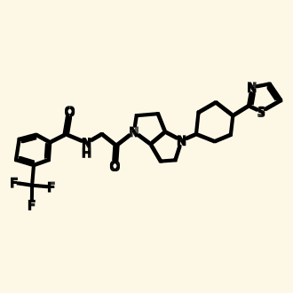 O=C(NCC(=O)N1CCC2C1CCN2C1CCC(c2nccs2)CC1)c1cccc(C(F)(F)F)c1